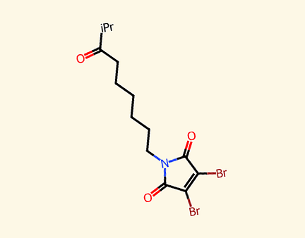 CC(C)C(=O)CCCCCCN1C(=O)C(Br)=C(Br)C1=O